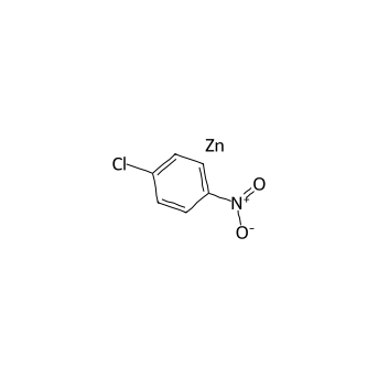 O=[N+]([O-])c1ccc(Cl)cc1.[Zn]